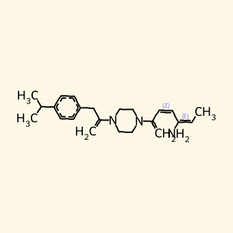 C=C(/C=C\C(N)=C/C)N1CCN(C(=C)Cc2ccc(C(C)C)cc2)CC1